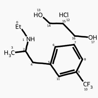 CCNC(C)Cc1cccc(C(F)(F)F)c1.Cl.OCCCO